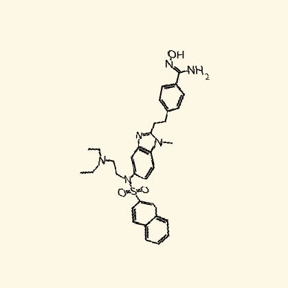 CCN(CC)CCN(c1ccc2c(c1)nc(CCc1ccc(C(N)=NO)cc1)n2C)S(=O)(=O)c1ccc2ccccc2c1